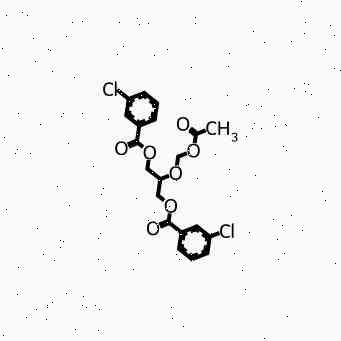 CC(=O)OCOC(COC(=O)c1cccc(Cl)c1)COC(=O)c1cccc(Cl)c1